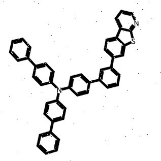 c1ccc(-c2ccc(N(c3ccc(-c4ccccc4)cc3)c3ccc(-c4cccc(-c5ccc6c(c5)sc5ncccc56)c4)cc3)cc2)cc1